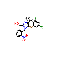 CC(C)c1nc(CO)n(Cc2ccccc2[N+](=O)[O-])c1Sc1cc(Cl)cc(Cl)c1